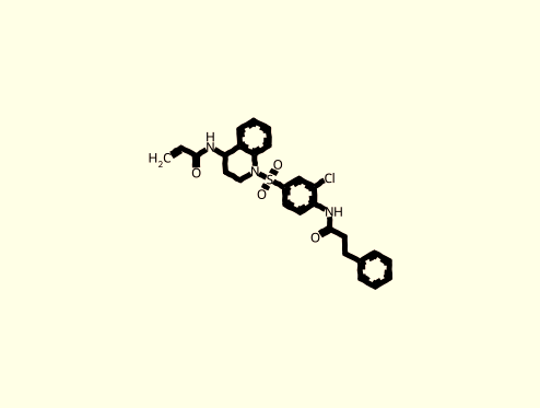 C=CC(=O)NC1CCN(S(=O)(=O)c2ccc(NC(=O)CCc3ccccc3)c(Cl)c2)c2ccccc21